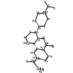 CC(C)N1CCC(N2CCOCC2CC(C)N2CCN(C(C)S)CC2)CC1